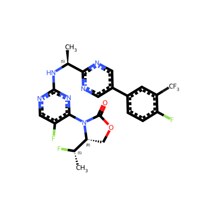 C[C@H](Nc1ncc(F)c(N2C(=O)OC[C@@H]2[C@H](C)F)n1)c1ncc(-c2ccc(F)c(C(F)(F)F)c2)cn1